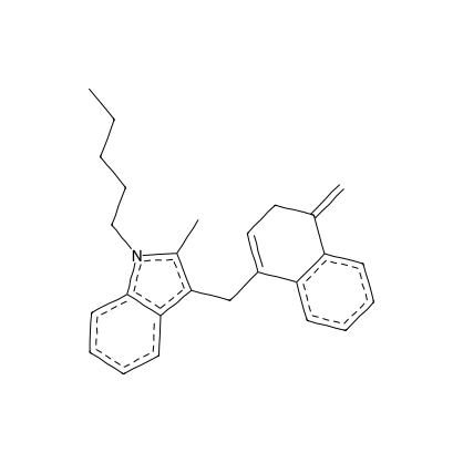 C=C1CC=C(Cc2c(C)n(CCCCC)c3ccccc23)c2ccccc21